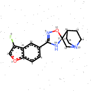 Fc1coc2ccc(C3=NO[C@]4(CN5CCC4CC5)N3)cc12